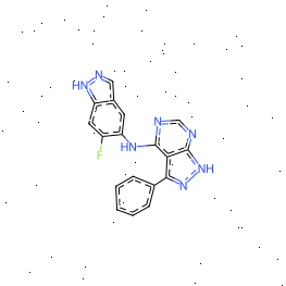 Fc1cc2[nH]ncc2cc1Nc1ncnc2[nH]nc(-c3ccccc3)c12